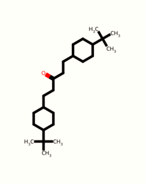 CC(C)(C)C1CCC(CCC(=O)CCC2CCC(C(C)(C)C)CC2)CC1